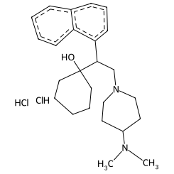 CN(C)C1CCN(CC(c2cccc3ccccc23)C2(O)CCCCC2)CC1.Cl.Cl